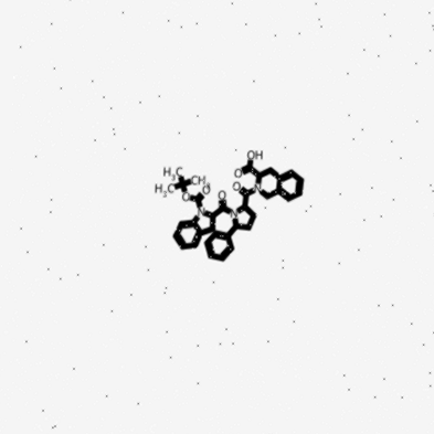 CC(C)(C)OC(=O)N1c2ccccc2CC1C(=O)N1C(C(=O)N2Cc3ccccc3CC2C(=O)O)CCC1c1ccccc1